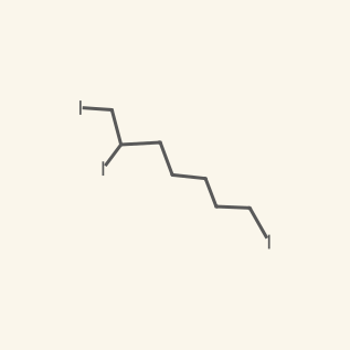 ICCCCCC(I)CI